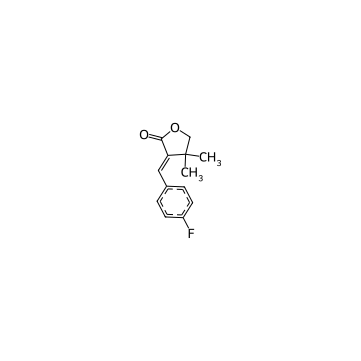 CC1(C)COC(=O)/C1=C/c1ccc(F)cc1